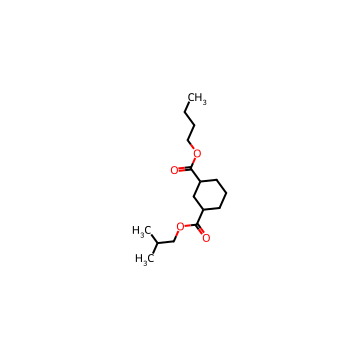 CCCCOC(=O)C1CCCC(C(=O)OCC(C)C)C1